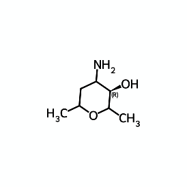 CC1CC(N)[C@@H](O)C(C)O1